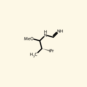 COC(NC=N)[C@@H](C)C(C)C